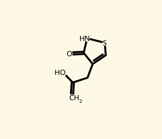 C=C(O)Cc1cs[nH]c1=O